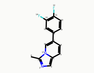 Cc1ncc2ccc(-c3ccc(F)c(F)c3)cn12